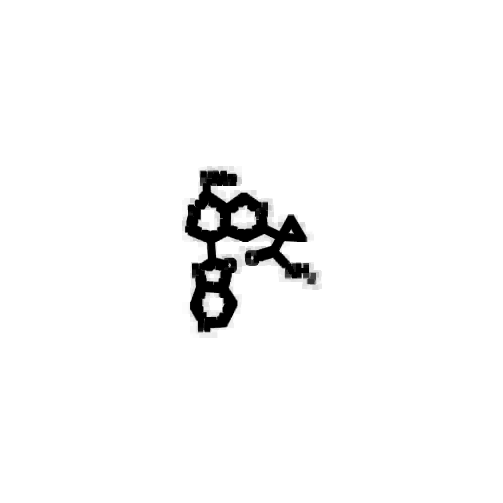 CNc1ncc(-c2nc3cnccc3o2)c2cc(C3(C(N)=O)CC3)ncc12